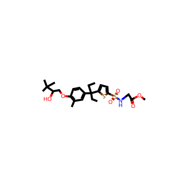 CCC(CC)(c1ccc(OCC(O)C(C)(C)C)c(C)c1)c1ccc(S(=O)(=O)NCC(=O)OC)s1